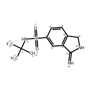 CC(C)(NS(=O)(=O)c1ccc2c(c1)C(=N)NC2)C(F)(F)F